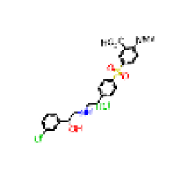 CNc1ccc(S(=O)(=O)c2ccc(CCNC[C@H](O)c3cccc(Cl)c3)cc2)cc1C(=O)O.Cl